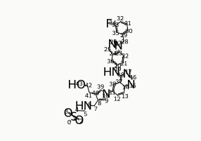 CS(=O)(=O)CCNCc1cn(-c2ccc3ncnc(Nc4ccc5c(cnn5Cc5cccc(F)c5)c4)c3c2)cc1CCO